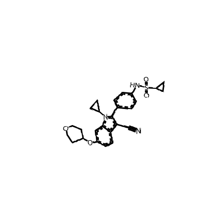 N#Cc1c(-c2ccc(NS(=O)(=O)C3CC3)cc2)n(C2CC2)c2cc(OC3CCOCC3)ccc12